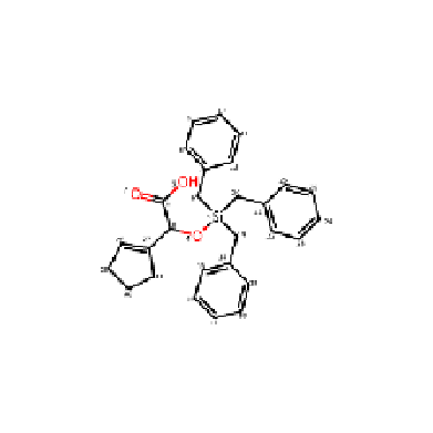 O=C(O)C(O[Si](Cc1ccccc1)(Cc1ccccc1)Cc1ccccc1)C1=CCCC1